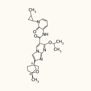 CC(C)Oc1nc2nc([C@]34CC[C@](C)(C3)OC4)cn2cc1C(=O)Nc1cccn(C2CC2C)c1=O